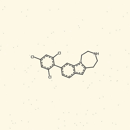 Clc1cc(Cl)c(-c2ccc3cc4n(c3c2)CCNCC4)c(Cl)c1